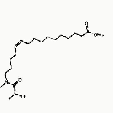 CCN(C)C(=O)N(C)CCCC/C=C\CCCCCCCCCC(=O)OC